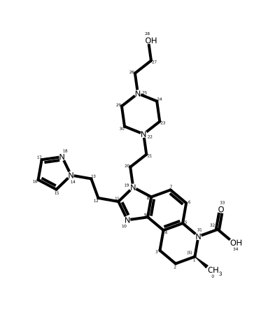 C[C@H]1CCc2c(ccc3c2nc(CCn2cccn2)n3CCN2CCN(CCO)CC2)N1C(=O)O